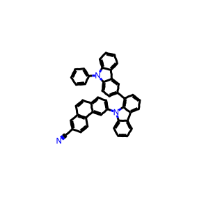 N#Cc1ccc2c(ccc3ccc(-n4c5ccccc5c5cccc(-c6ccc7c(c6)c6ccccc6n7-c6ccccc6)c54)cc32)c1